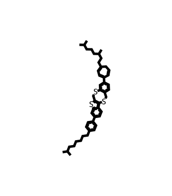 CC(C)CCCCCCc1ccc(-c2ccc3c4c(sc3c2)CSc2cc(C3=CC=C(CCC(C)CCCC(C)C)CC=C3)ccc2CS4)cc1